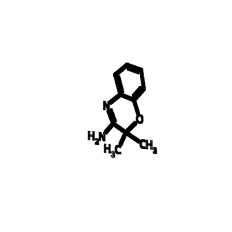 CC1(C)Oc2ccccc2N=C1N